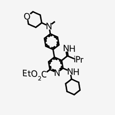 CCOC(=O)c1cc(-c2ccc(N(C)C3CCOCC3)cc2)c(C(=N)C(C)C)c(NC2CCCCC2)n1